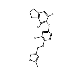 Cc1cc(COc2ccc(Oc3c(Br)cc4c(c3Br)CCC4)cc2C(C)C)no1